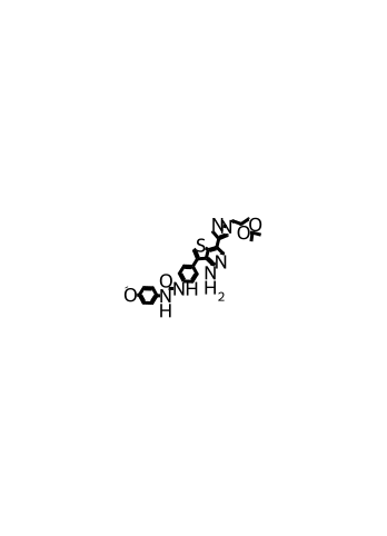 COc1ccc(NC(=O)Nc2ccc(-c3csc4c(-c5cnn(CC6COC(C)(C)O6)c5)cnc(N)c34)cc2)cc1